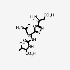 CC(O)C(NC(=O)N[C@@H](CC(N)=O)c1nnc([C@@H](N)CC(=O)O)o1)C(=O)O